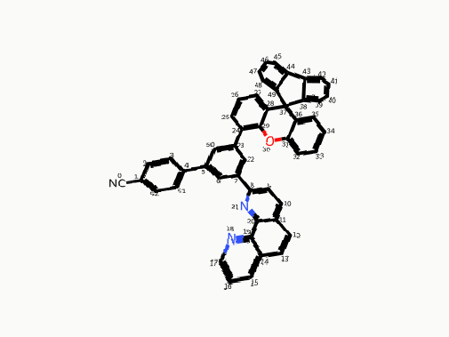 N#Cc1ccc(-c2cc(-c3ccc4ccc5cccnc5c4n3)cc(-c3cccc4c3Oc3ccccc3C43c4ccccc4-c4ccccc43)c2)cc1